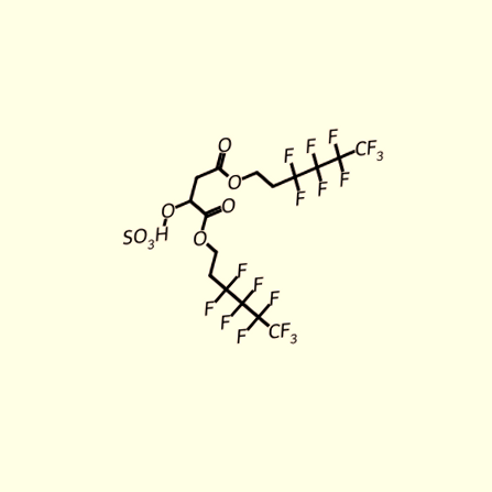 O=C(CC(OS(=O)(=O)O)C(=O)OCCC(F)(F)C(F)(F)C(F)(F)C(F)(F)F)OCCC(F)(F)C(F)(F)C(F)(F)C(F)(F)F